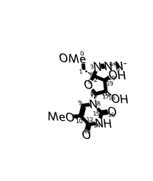 COC[C@@]1(N=[N+]=[N-])O[C@@H](n2cc(OC)c(=O)[nH]c2=O)[C@@H](O)C1O